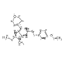 CCOc1ccc(CSc2nc(N3CCOCC3)c3nc(CC)n(C)c3n2)cc1